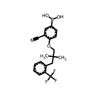 CC(C)(COc1ccc(B(O)O)cc1C#N)Cc1ccccc1C(F)(F)F